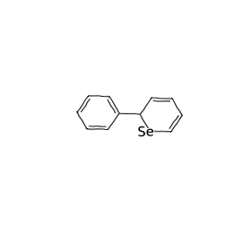 C1=C[Se]C(c2ccccc2)C=C1